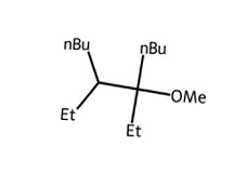 CCCCC(CC)C(CC)(CCCC)OC